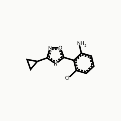 Nc1cccc(Cl)c1-c1nc(C2CC2)no1